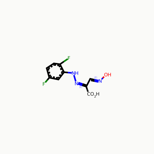 O=C(O)C(/C=N/O)=N/Nc1cc(F)ccc1F